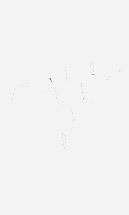 CC(C)=CCC1=C(O)[C@](O)(CC=C(C)C)C(O)=C(C(=O)CC(C)C)C1=O